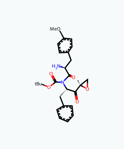 COc1ccc(C[C@H](N)C(=O)N(C(=O)OC(C)(C)C)[C@@H](Cc2ccccc2)C(=O)[C@@]2(C)CO2)cc1